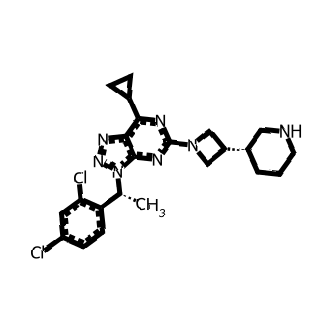 C[C@H](c1ccc(Cl)cc1Cl)n1nnc2c(C3CC3)nc(N3CC([C@H]4CCCNC4)C3)nc21